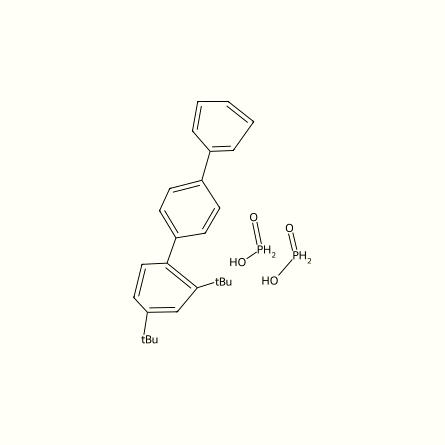 CC(C)(C)c1ccc(-c2ccc(-c3ccccc3)cc2)c(C(C)(C)C)c1.O=[PH2]O.O=[PH2]O